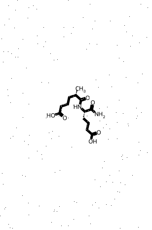 C[C@@H](CCCC(=O)O)C(=O)N[C@@H](CCCC(=O)O)C(N)=O